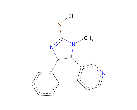 CCSC1=NC(c2ccccc2)C(c2cccnc2)N1C